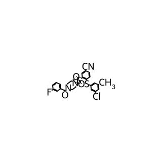 Cc1cc(Cl)cc(Sc2ccc(C#N)cc2S(=O)(=O)N2CCN(C(=O)c3cccc(F)c3)CC2)c1